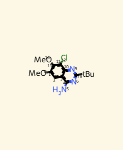 COc1cc2c(N)nc(C(C)(C)C)nc2c(Cl)c1OC